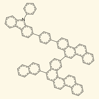 c1ccc(-n2c3ccccc3c3ccc(-c4ccc(-c5ccc6c(c5)c(-c5ccc7c(-c8ccc9ccccc9c8)cc8ccc9c%10ccccc%10ccc9c8c7c5)cc5c7ccccc7ccc65)cc4)cc32)cc1